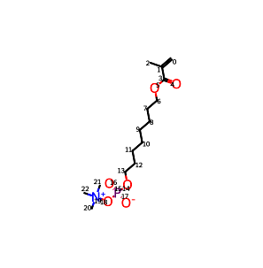 C=C(C)C(=O)OCCCCCCCCOP(=O)([O-])O[N+](C)(C)C